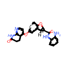 Nc1ccccc1NC(=O)C1C2Oc3ccc(Oc4ccnc5c4CCC(=O)N5)cc3[C@H]21